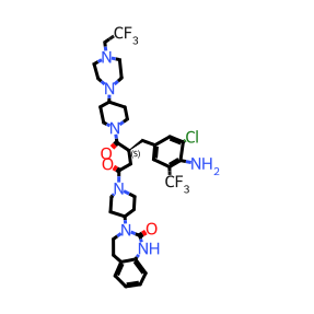 Nc1c(Cl)cc(C[C@@H](CC(=O)N2CCC(N3CCc4ccccc4NC3=O)CC2)C(=O)N2CCC(N3CCN(CC(F)(F)F)CC3)CC2)cc1C(F)(F)F